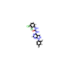 Cc1ccc(-n2ncc3c(NC(=O)Nc4cccc(Cl)c4Cl)ncnc32)c(C)c1